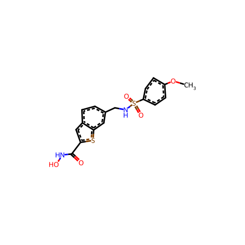 COc1ccc(S(=O)(=O)NCc2ccc3cc(C(=O)NO)sc3c2)cc1